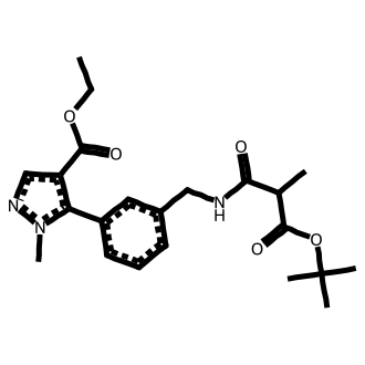 CCOC(=O)c1cnn(C)c1-c1cccc(CNC(=O)C(C)C(=O)OC(C)(C)C)c1